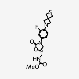 COC(=O)NC[C@H]1CN(c2ccc(N3CC4(CSC4)C3)c(F)c2)C(=O)O1